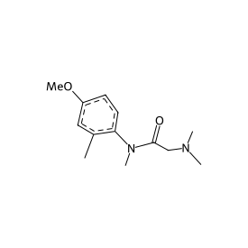 COc1ccc(N(C)C(=O)CN(C)C)c(C)c1